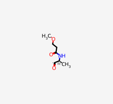 COCCC(=O)N[C@@H](C)[C]=O